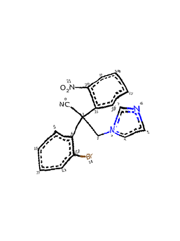 N#CC(Cn1ccnc1)(c1ccccc1Br)c1ccccc1[N+](=O)[O-]